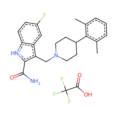 Cc1cccc(C)c1C1CCN(Cc2c(C(N)=O)[nH]c3ccc(F)cc23)CC1.O=C(O)C(F)(F)F